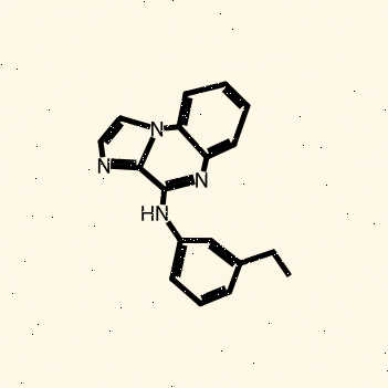 CCc1cccc(Nc2nc3ccccc3n3ccnc23)c1